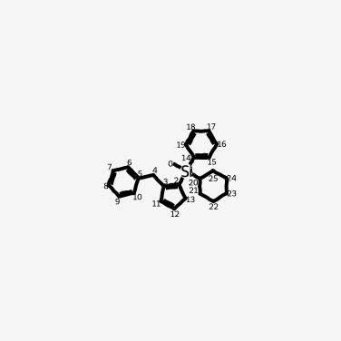 C[Si](C1=C(Cc2ccccc2)C=CC1)(c1ccccc1)C1CCCCC1